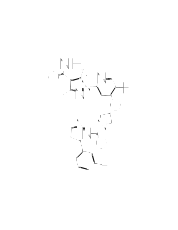 Cc1nn(-c2cc(OC3CN(C(=O)N4N=CCC4c4cccc(F)c4)C3)c(F)cn2)c(C)c1C(N)=O